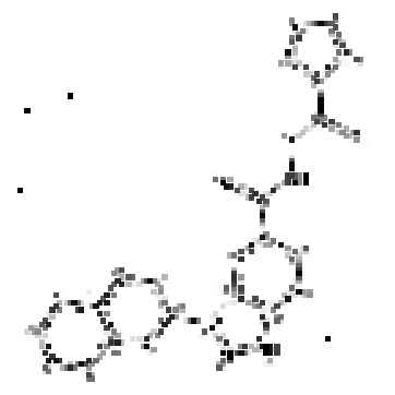 O=C(NCC(=O)c1ccco1)c1ccc2[nH]nc(-c3ccc4ccccc4c3)c2c1